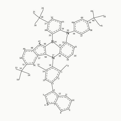 Cc1cc(-c2csc3ccccc23)cc(C)c1N1c2cccc3c2B(c2cc(C(C)(C)C)ccc2N3c2ccc(C(C)(C)C)cc2)c2sc3ccc(C(C)(C)C)cc3c21